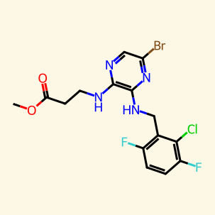 COC(=O)CCNc1ncc(Br)nc1NCc1c(F)ccc(F)c1Cl